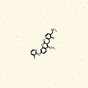 Cc1c(Cc2cccc(CN)c2F)c(=O)oc2cc(Oc3ncccc3F)ccc12